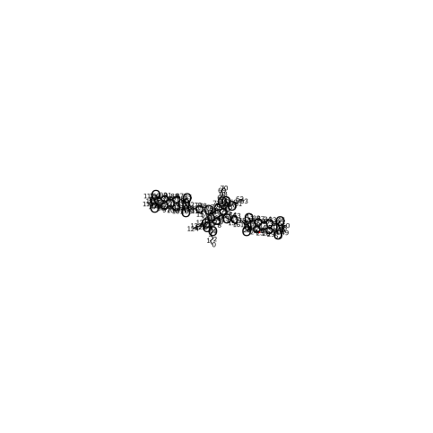 CCCCOC(=O)c1ccc2c3c(Oc4ccc(CCN5C(=O)c6ccc7c8ccc9c%10c(ccc(c%11ccc(c6c7%11)C5=O)c%108)C(=O)N(C(C)C)C9=O)cc4)cc(C(=O)OCCCC)c4c(OCCCC)ccc(c5c(Oc6ccc(CCN7C(=O)c8ccc9c%10ccc%11c%12c(ccc(c%13ccc(c8c9%13)C7=O)c%12%10)C(=O)N(C(C)C)C%11=O)cc6)cc(OCCCC)c1c25)c43